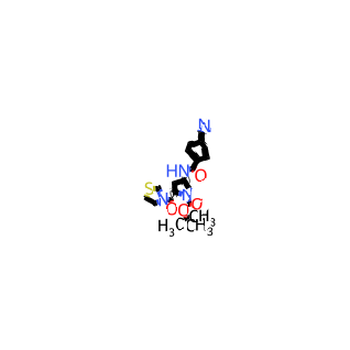 CC(C)(C)OC(=O)N1C[C@@H](NC(=O)c2ccc(C#N)cc2)C[C@H]1C(=O)N1CCSC1